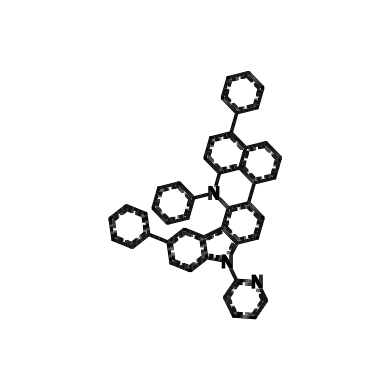 c1ccc(-c2ccc3c(c2)c2c4c(ccc2n3-c2ccccn2)-c2cccc3c(-c5ccccc5)ccc(c23)N4c2ccccc2)cc1